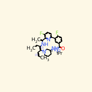 C=C/C(NC(=C)c1nc(-c2cc(C(=O)NC(C)C)ccc2F)ccc1F)=C(\C=C/C)N1CCC[C@H](N)C1